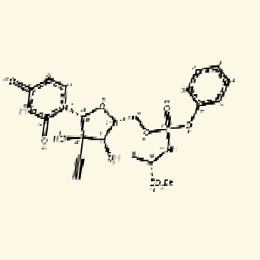 C#C[C@@]1(O)[C@H](O)[C@@H](COP(=O)(N[C@@H](C)C(=O)OCC)Oc2ccccc2)O[C@H]1n1ccc(=O)[nH]c1=O